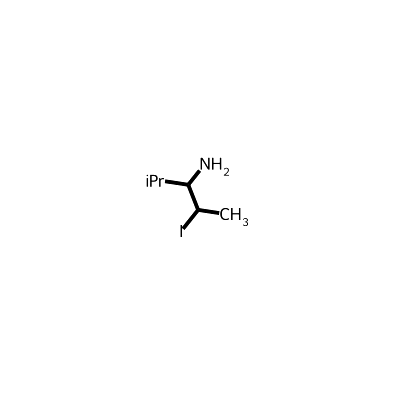 CC(C)C(N)C(C)I